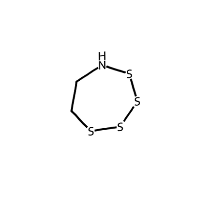 C1CSSSSN1